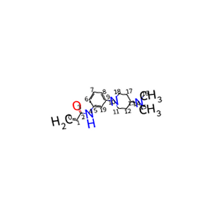 C=CC(=O)Nc1[c]ccc(N2CCC(N(C)C)CC2)c1